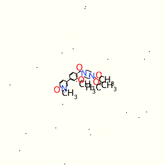 COc1cc(-c2ccc(=O)n(C)c2)ccc1C(=O)N1CCN(C(=O)OC(C)(C)C)CC1